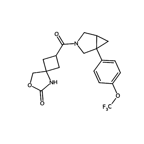 O=C1NC2(CO1)CC(C(=O)N1CC3CC3(c3ccc(OC(F)(F)F)cc3)C1)C2